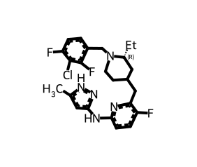 CC[C@@H]1CC(Cc2nc(Nc3cc(C)[nH]n3)ccc2F)CCN1Cc1ccc(F)c(Cl)c1F